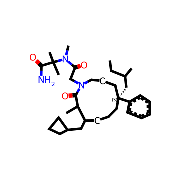 CCC(C)C[C@]1(c2ccccc2)CCCC(CC2CCC2)C(C)C(=O)N(CC(=O)N(C)C(C)(C)C(N)=O)CCC1